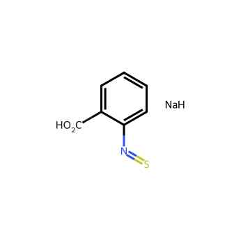 O=C(O)c1ccccc1N=S.[NaH]